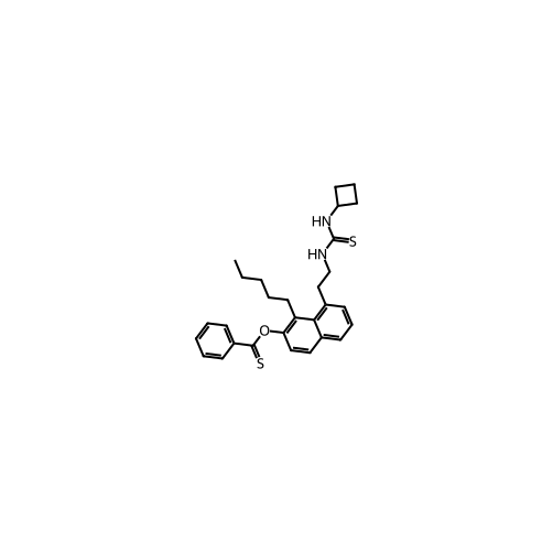 CCCCCc1c(OC(=S)c2ccccc2)ccc2cccc(CCNC(=S)NC3CCC3)c12